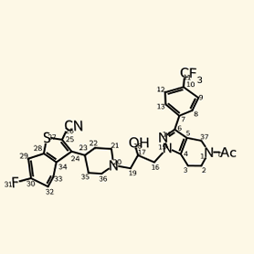 CC(=O)N1CCc2c(c(-c3ccc(C(F)(F)F)cc3)nn2CC(O)CN2CCC(c3c(C#N)sc4cc(F)ccc34)CC2)C1